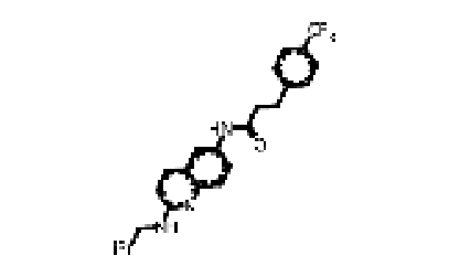 CC(C)CNc1ccc2cc(NC(=O)CCc3ccc(C(F)(F)F)cc3)ccc2n1